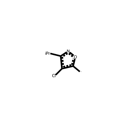 [CH2]c1onc(C(C)C)c1Cl